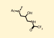 CC(=O)N(F)CC(O)CNC(=O)C(F)(F)F